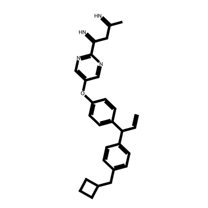 C=CC(c1ccc(CC2CCC2)cc1)c1ccc(Oc2cnc(C(=N)CC(C)=N)nc2)cc1